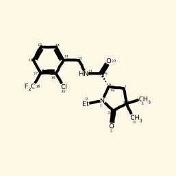 CCN1C(=O)C(C)(C)C[C@H]1C(=O)NCc1cccc(C(F)(F)F)c1Cl